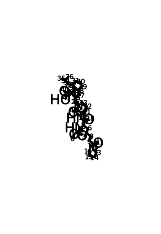 COC(=O)NC(CC/C=C/C(=O)N1CCCC1)C(=O)Nc1cccn(Cc2cc3cccc(CC(C)C)c3n2C(=O)O)c1=O